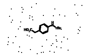 CCCCNc1ccc(CC(=O)O)cc1